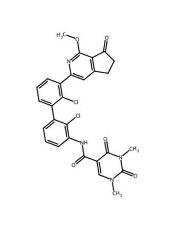 COc1nc(-c2cccc(-c3cccc(NC(=O)c4cn(C)c(=O)n(C)c4=O)c3Cl)c2Cl)cc2c1C(=O)CC2